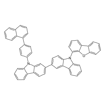 c1ccc2c(-c3ccc(-n4c5ccccc5c5ccc(-c6ccc7c(c6)c6ccccc6n7-c6cccc7c6oc6ccccc67)cc54)cc3)cccc2c1